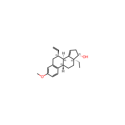 C=C[C@@H]1Cc2cc(OC)ccc2[C@H]2CC[C@@]3(CC)C(=CC[C@@H]3O)[C@H]12